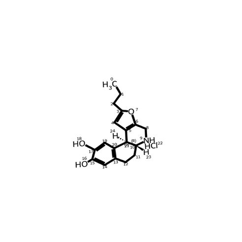 CCCc1cc2c(o1)CN[C@@H]1CCc3cc(O)c(O)cc3[C@@H]21.Cl